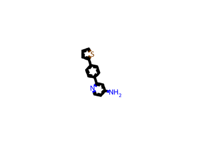 Nc1ccnc(-c2ccc(-c3cccs3)cc2)c1